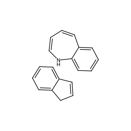 C1=CNc2ccccc2C=C1.C1=Cc2ccccc2C1